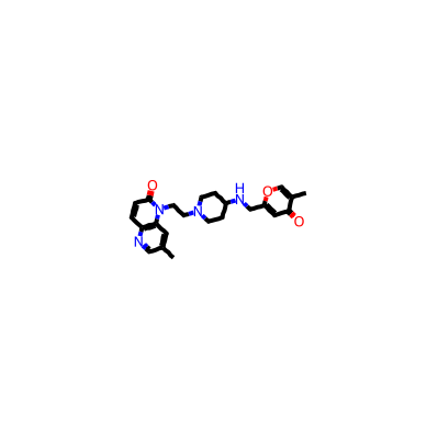 Cc1cnc2ccc(=O)n(CCN3CCC(NCc4cc(=O)c(C)co4)CC3)c2c1